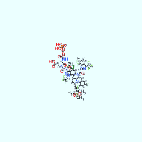 CC(C)(C#Cc1ccc(-c2ccc(Cl)c3c(N(C(=O)N(CCNC(=O)OCOP(=O)(O)O)CCC(=O)O)S(C)(=O)=O)nn(CC(F)(F)F)c23)c([C@H](Cc2cc(F)cc(F)c2)NC(=O)Cn2nc(C(F)(F)F)c3c2C(F)(F)[C@@H]2CC32)n1)S(C)(=O)=O